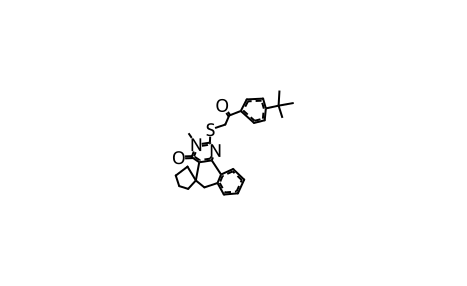 Cn1c(SCC(=O)c2ccc(C(C)(C)C)cc2)nc2c(c1=O)C1(CCCC1)Cc1ccccc1-2